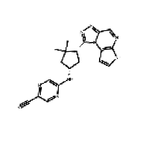 CC1(C)C[C@@H](Nc2cnc(C#N)cn2)C[C@H]1c1nnc2cnc3[nH]ccc3n12